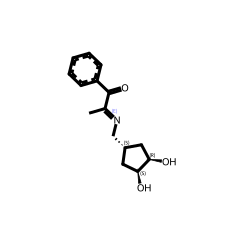 C/C(=N\C[C@@H]1C[C@@H](O)[C@@H](O)C1)C(=O)c1ccccc1